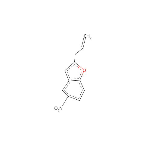 C=CCc1cc2cc([N+](=O)[O-])ccc2o1